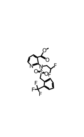 COC(=O)c1cccnc1N(CC(F)F)S(=O)(=O)Cc1ccccc1C(F)(F)F